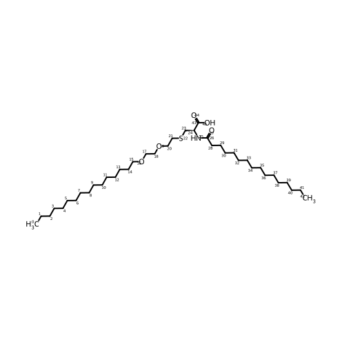 CCCCCCCCCCCCCCCCOCCOCCSC[C@H](NC(=O)CCCCCCCCCCCCCCC)C(=O)O